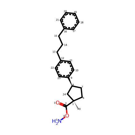 C[C@@]1(C(=O)ON)CC[C@H](c2ccc(CCCc3ccccc3)cc2)C1